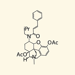 CC(=O)Oc1ccc2c3c1OC1C(N(CC(C)C)C(=O)/C=C/c4ccccc4)CC[C@@]4(OC(C)=O)[C@@H](C2)N(C)CC[C@]314